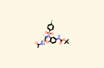 CC(=O)NC[C@H]1Oc2ccc(NC(=O)OC(C)(C)C)cc2N(S(=O)(=O)c2ccc(F)cc2)[C@H]1C